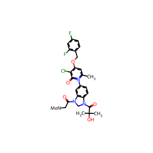 CNCC(=O)N1CN(C(=O)C(C)(C)O)c2ccc(-n3c(C)cc(OCc4ccc(F)cc4F)c(Cl)c3=O)cc21